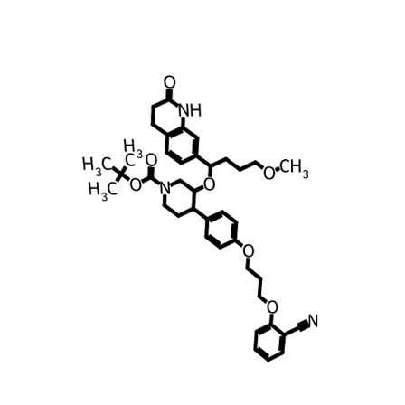 COCCCC(OC1CN(C(=O)OC(C)(C)C)CCC1c1ccc(OCCCOc2ccccc2C#N)cc1)c1ccc2c(c1)NC(=O)CC2